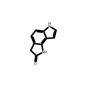 O=C1Cc2ccc3[nH]ccc3c2N1